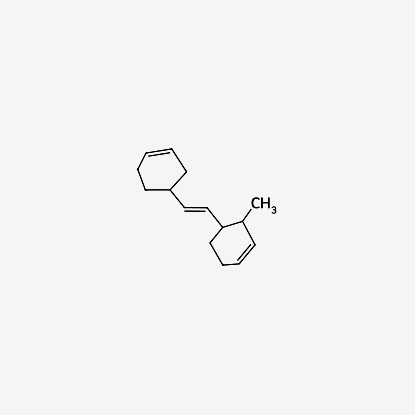 CC1C=CCCC1C=CC1CC=CCC1